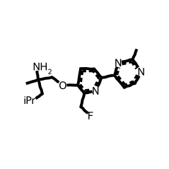 Cc1nccc(-c2ccc(OCC(C)(N)CC(C)C)c(CF)n2)n1